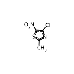 Cc1nc(Cl)c([N+](=O)[O-])s1